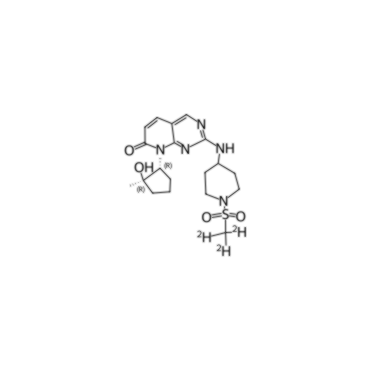 [2H]C([2H])([2H])S(=O)(=O)N1CCC(Nc2ncc3ccc(=O)n([C@@H]4CCC[C@@]4(C)O)c3n2)CC1